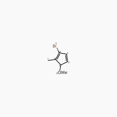 COC1C=CC(Br)=C1C